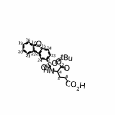 CC(C)(C)OC(=O)C(CCC(=O)O)NS(=O)(=O)c1ccc2oc3ccccc3c2c1